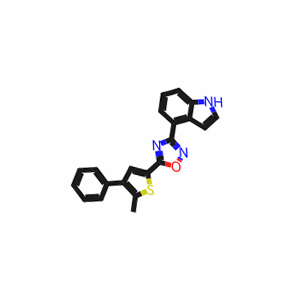 Cc1sc(-c2nc(-c3cccc4[nH]ccc34)no2)cc1-c1ccccc1